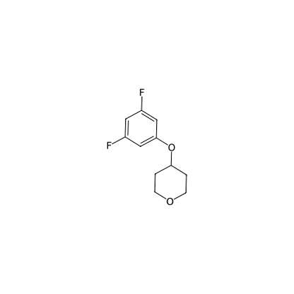 Fc1cc(F)cc(OC2CCOCC2)c1